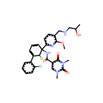 COc1nc(C2(NC(=O)c3cn(C)c(=O)n(C)c3=O)C=CC=C(c3ccccc3Cl)[C@@H]2Cl)ccc1CNCC(C)O